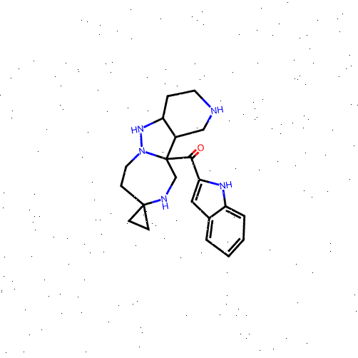 O=C(c1cc2ccccc2[nH]1)C12CNC3(CCN1NC1CCNCC12)CC3